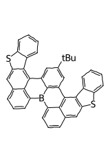 CC(C)(C)c1cc2c3c(c1)-c1c4c(cccc4cc4sc5ccccc5c14)B3c1cccc3cc4sc5ccccc5c4c-2c13